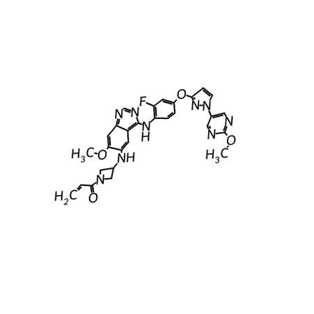 C=CC(=O)N1CC(Nc2cc3c(Nc4ccc(Oc5ccn(-c6cnc(OC)nc6)n5)cc4F)ncnc3cc2OC)C1